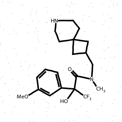 COc1cccc(C(O)(C(=O)N(C)CC2CC3(CCNCC3)C2)C(F)(F)F)c1